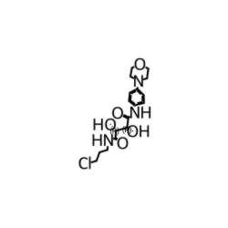 O=C(NCCCCl)[C@H](O)[C@@H](O)C(=O)Nc1ccc(N2CCOCC2)cc1